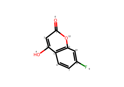 O=c1cc(O)c2ccc(F)cc2o1